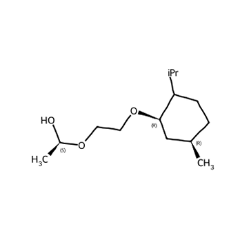 CC(C)C1CC[C@@H](C)C[C@H]1OCCO[C@@H](C)O